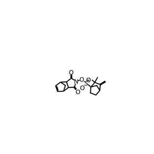 C=C1C2CCC(S(=O)(=O)ON3C(=O)C4C5C=CC(C5)C4C3=O)(C2)C1(C)C